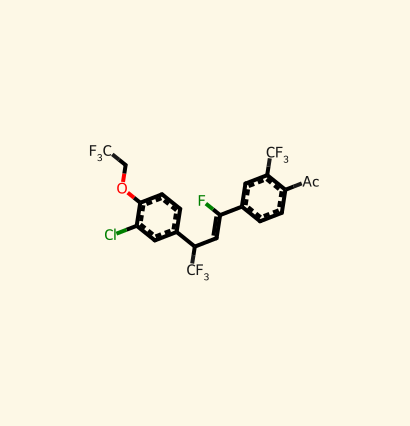 CC(=O)c1ccc(/C(F)=C/C(c2ccc(OCC(F)(F)F)c(Cl)c2)C(F)(F)F)cc1C(F)(F)F